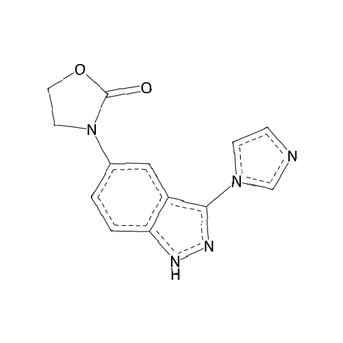 O=C1OCCN1c1ccc2[nH]nc(-n3ccnc3)c2c1